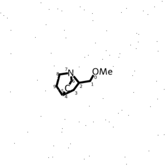 COCC1CC2CCN1CC2